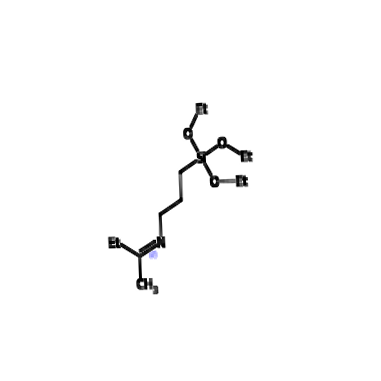 CCO[Si](CCC/N=C(/C)CC)(OCC)OCC